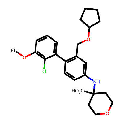 CCOc1cccc(-c2ccc(NC3(C(=O)O)CCOCC3)cc2COC2CCCC2)c1Cl